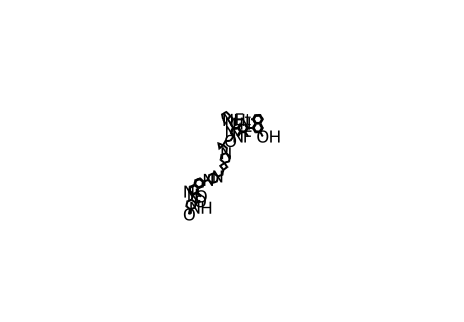 CCc1cccc2cc(O)cc(-c3ncc4c(N5CC6CCC(C5)N6)nc(OCC5(CN6CCC7(CC6)CC(CN6CCN(c8ccc9cnn(C%10CCC(=O)NC%10=O)c(=O)c9c8)CC6)C7)CC5)nc4c3F)c12